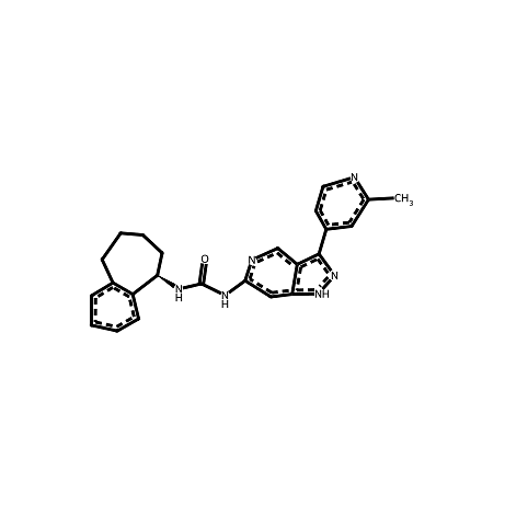 Cc1cc(-c2n[nH]c3cc(NC(=O)N[C@@H]4CCCCc5ccccc54)ncc23)ccn1